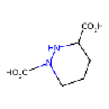 O=C(O)C1CCCN(C(=O)O)N1